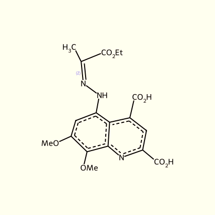 CCOC(=O)/C(C)=N\Nc1cc(OC)c(OC)c2nc(C(=O)O)cc(C(=O)O)c12